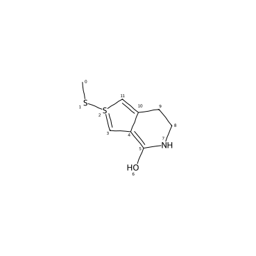 CSS1=CC2=C(O)NCCC2=C1